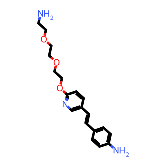 NCCOCCOCCOc1ccc(/C=C/c2ccc(N)cc2)cn1